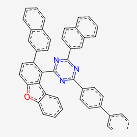 c1ccc(-c2ccc(-c3nc(-c4ccc5ccccc5c4)nc(-c4c(-c5ccc6ccccc6c5)ccc5oc6ccccc6c45)n3)cc2)cc1